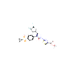 CC1(C)OCC(c2csc(NC(=O)/C(=C/C3CC(F)C(F)C3)c3ccc(S(=O)(=O)C4CC4)cc3)n2)O1